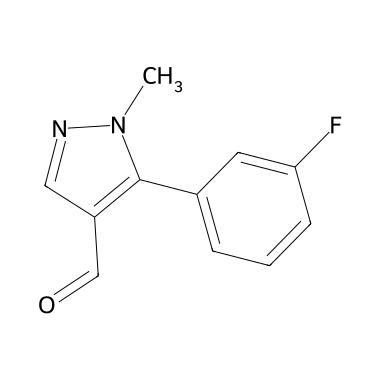 Cn1ncc(C=O)c1-c1cccc(F)c1